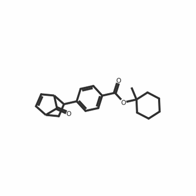 CC1(OC(=O)c2ccc(C3CC4C=CC3C4=O)cc2)CCCCC1